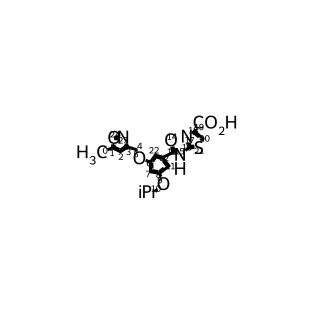 Cc1cc(COc2cc(OC(C)C)cc(C(=O)Nc3nc(C(=O)O)cs3)c2)no1